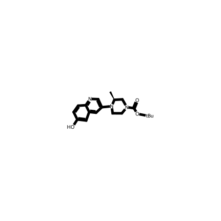 C[C@H]1CN(C(=O)OC(C)(C)C)CCN1c1cnc2ccc(O)cc2c1